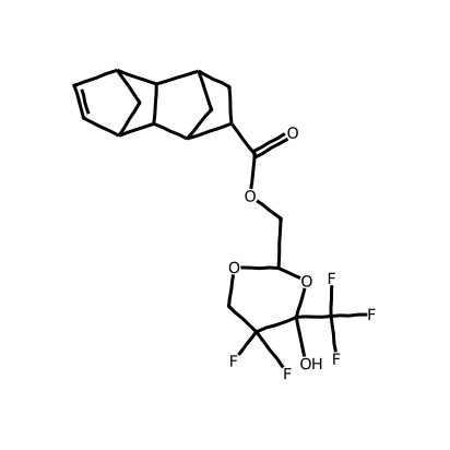 O=C(OCC1OCC(F)(F)C(O)(C(F)(F)F)O1)C1CC2CC1C1C3C=CC(C3)C21